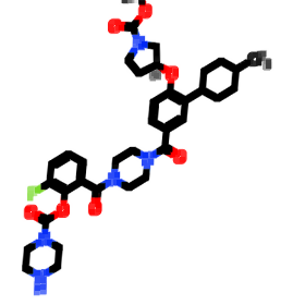 CC(C)(C)OC(=O)N1CC[C@H](Oc2ccc(C(=O)N3CCN(C(=O)c4cccc(F)c4OC(=O)N4CCNCC4)CC3)cc2C2CCC(C(F)(F)F)CC2)C1